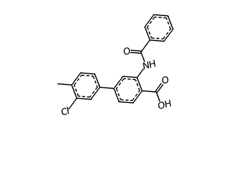 Cc1ccc(-c2ccc(C(=O)O)c(NC(=O)c3ccccc3)c2)cc1Cl